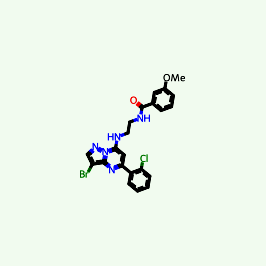 COc1cccc(C(=O)NCCNc2cc(-c3ccccc3Cl)nc3c(Br)cnn23)c1